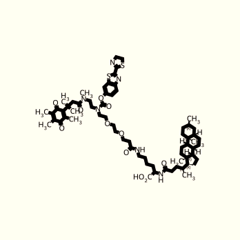 CC1=C(C)C(=O)C(C(C)(C)CC(=O)N(C)CCN(CCOCCOCCC(=O)NCCCCC(NC(=O)CC[C@@H](C)[C@H]2CC[C@H]3[C@@H]4CC[C@@H]5C[C@H](C)CC[C@]5(C)[C@H]4CC[C@]23C)C(=O)O)C(=O)Oc2ccc3nc(C4=NCCS4)sc3c2)=C(C)C1=O